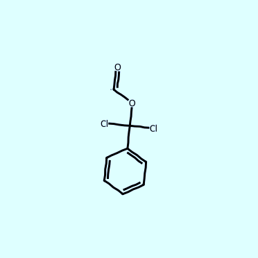 O=[C]OC(Cl)(Cl)c1ccccc1